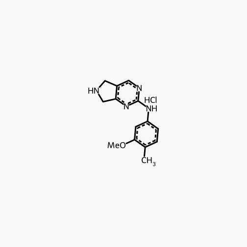 COc1cc(Nc2ncc3c(n2)CNC3)ccc1C.Cl